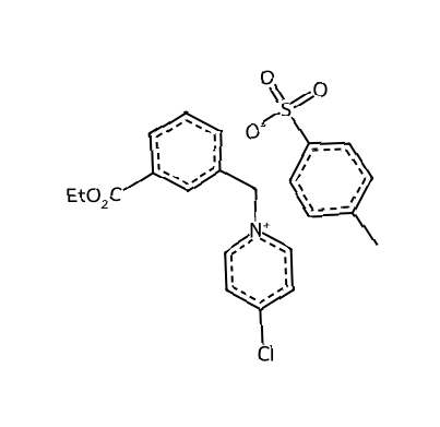 CCOC(=O)c1cccc(C[n+]2ccc(Cl)cc2)c1.Cc1ccc(S(=O)(=O)[O-])cc1